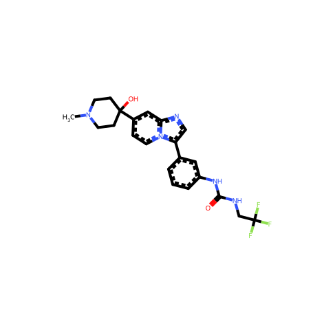 CN1CCC(O)(c2ccn3c(-c4cccc(NC(=O)NCC(F)(F)F)c4)cnc3c2)CC1